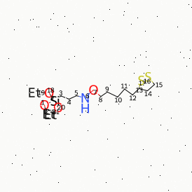 CCO[Si](CCCNOCCCCCC1CCSS1)(OCC)OCC